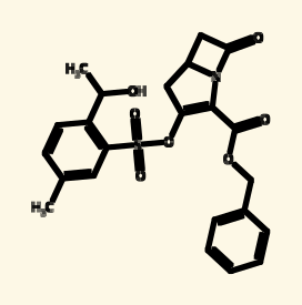 Cc1ccc(C(C)O)c(S(=O)(=O)OC2=C(C(=O)OCc3ccccc3)N3C(=O)CC3C2)c1